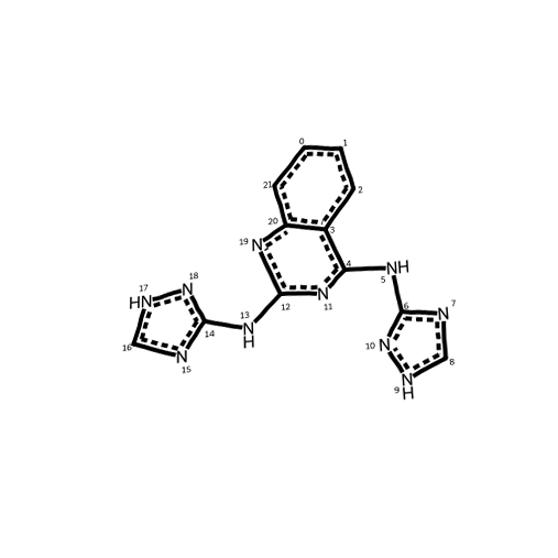 c1ccc2c(Nc3nc[nH]n3)nc(Nc3nc[nH]n3)nc2c1